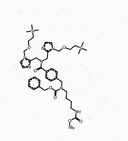 CC(C)(C)OC(=O)NCCCCN(Cc1ccc(C(=O)N(Cc2nccn2COCC[Si](C)(C)C)Cc2nccn2COCC[Si](C)(C)C)cc1)C(=O)OCc1ccccc1